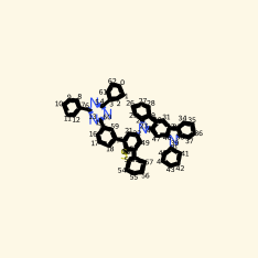 c1ccc(-c2nc(-c3ccccc3)nc(-c3cccc(-c4cc(-n5c6ccccc6c6cc7c8ccccc8n(-c8ccccc8)c7cc65)cc5c4sc4ccccc45)c3)n2)cc1